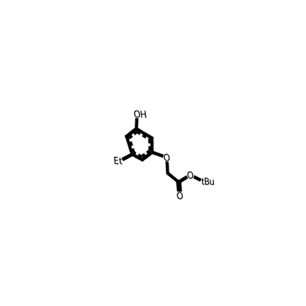 CCc1cc(O)cc(OCC(=O)OC(C)(C)C)c1